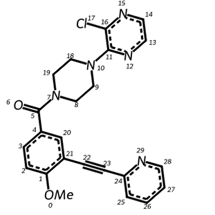 COc1ccc(C(=O)N2CCN(c3nccnc3Cl)CC2)cc1C#Cc1ccccn1